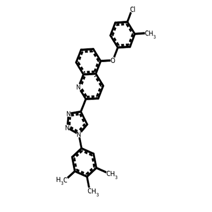 Cc1cc(Oc2cccc3nc(-c4cn(-c5cc(C)c(C)c(C)c5)nn4)ccc23)ccc1Cl